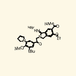 Br.CCOc1cc2c(cc1C(=O)NC)C(=N)N(CC(=O)c1cc(N3CCCC3)c(OC)c(C(C)(C)C)c1)C2